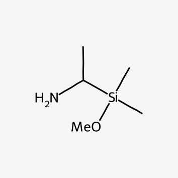 CO[Si](C)(C)C(C)N